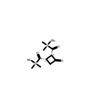 CC(C)(C)[Si](C)(C)C(=O)[C@@H]1C(=O)C[C@@H]1C(=O)[Si](C)(C)C(C)(C)C